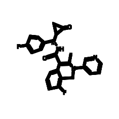 CC1=C(C(=O)N[C@H](c2ccc(F)cc2)C2CC2=O)c2cccc(F)c2CN1c1cccnc1